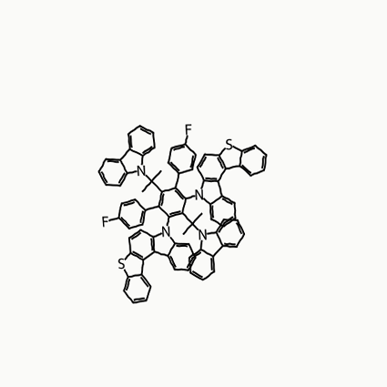 CC(C)(c1c(-c2ccc(F)cc2)c(-n2c3ccccc3c3c4c(ccc32)sc2ccccc24)c(C(C)(C)n2c3ccccc3c3ccccc32)c(-n2c3ccccc3c3c4c(ccc32)sc2ccccc24)c1-c1ccc(F)cc1)n1c2ccccc2c2ccccc21